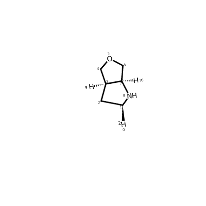 [2H][C@H]1C[C@H]2COC[C@H]2N1